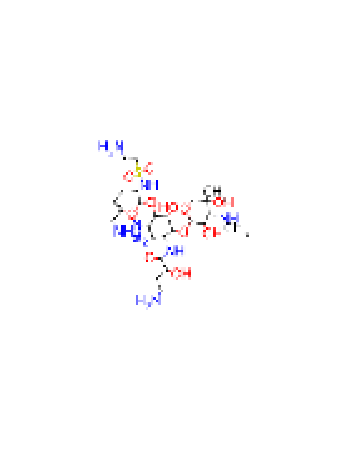 CN[C@@H]1[C@@H](O)[C@@H](O[C@@H]2[C@@H](O)[C@H](O[C@H]3OC(CN)=CC[C@H]3NS(=O)(=O)CCN)[C@@H](N)C[C@H]2NC(=O)[C@@H](O)CCN)OC[C@]1(C)O